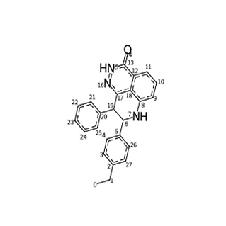 CCc1ccc(C2Nc3cccc4c(=O)[nH]nc(c34)C2c2ccccc2)cc1